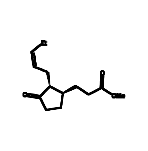 CC/C=C\C[C@H]1C(=O)CC[C@@H]1CCC(=O)OC